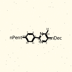 CCCCCCCCCCc1cnc(-c2ccc(CCCCC)cc2)nc1C